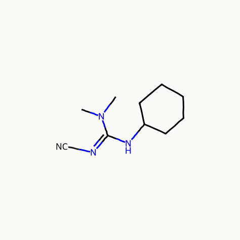 CN(C)/C(=N\C#N)NC1CCCCC1